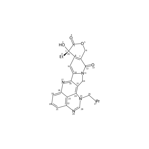 CC[C@@]1(O)C(=O)OCc2c1cc1n(c2=O)Cc2c-1nc1cccc3c1c2N(CC(C)C)C=N3